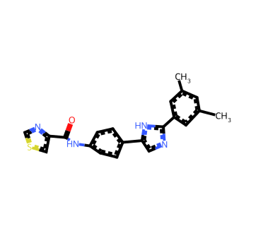 Cc1cc(C)cc(-c2ncc(-c3ccc(NC(=O)c4cscn4)cc3)[nH]2)c1